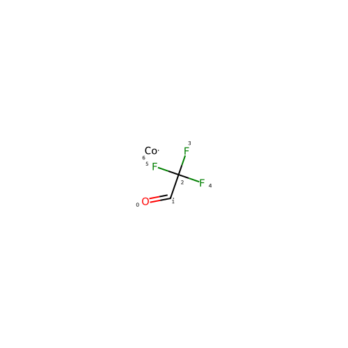 O=[C]C(F)(F)F.[Co]